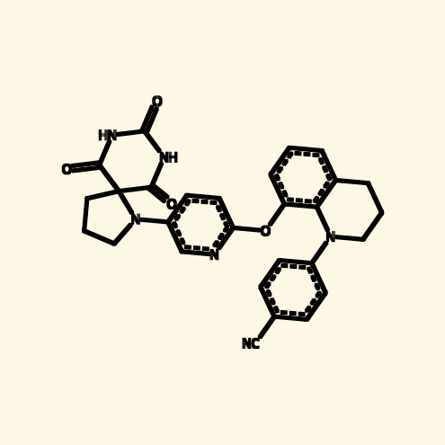 N#Cc1ccc(N2CCCc3cccc(Oc4ccc(N5CCCC56C(=O)NC(=O)NC6=O)cn4)c32)cc1